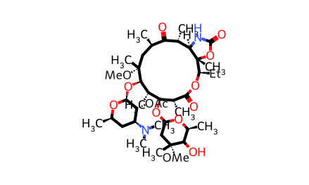 CC[C@H]1OC(=O)[C@H](C)[C@@H](OC2C[C@@](C)(OC)C(O)[C@H](C)O2)[C@H](C)[C@@H](O[C@@H]2O[C@H](C)C[C@H](N(C)C)[C@H]2OC(C)=O)[C@](C)(OC)C[C@@H](C)C(=O)[C@H](C)[C@H]2NC(=O)O[C@@]21C